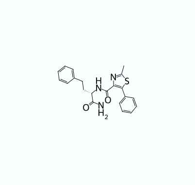 Cc1nc(C(=O)N[C@@H](CCc2ccccc2)C(N)=O)c(-c2ccccc2)s1